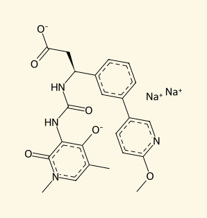 COc1ccc(-c2cccc([C@H](CC(=O)[O-])NC(=O)Nc3c([O-])c(C)cn(C)c3=O)c2)cn1.[Na+].[Na+]